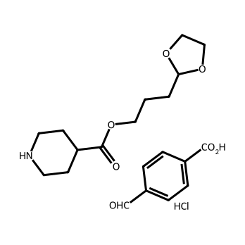 Cl.O=C(OCCCC1OCCO1)C1CCNCC1.O=Cc1ccc(C(=O)O)cc1